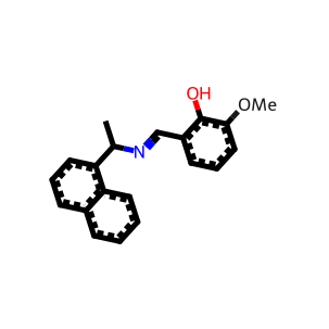 COc1cccc(C=NC(C)c2cccc3ccccc23)c1O